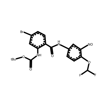 CC(C)(C)OC(=O)Nc1cc(Br)ccc1C(=O)Nc1ccc(OC(F)F)c(N=O)c1